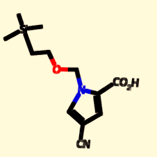 C[Si](C)(C)CCOCn1cc(C#N)cc1C(=O)O